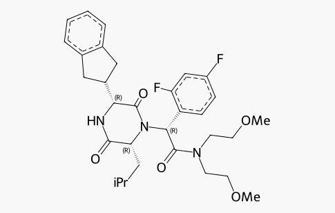 COCCN(CCOC)C(=O)[C@@H](c1ccc(F)cc1F)N1C(=O)[C@@H](C2Cc3ccccc3C2)NC(=O)[C@H]1CC(C)C